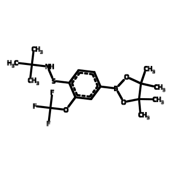 CC(C)(C)NSc1ccc(B2OC(C)(C)C(C)(C)O2)cc1OC(F)(F)F